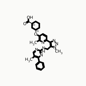 Cc1cnc(NCc2c(-c3ccc(O[C@H]4CCC[C@H](C(=O)O)C4)c(C)n3)nnn2C)nc1-c1ccccc1